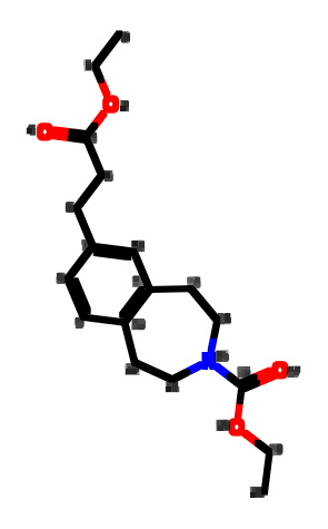 CCOC(=O)CCc1ccc2c(c1)CCN(C(=O)OCC)CC2